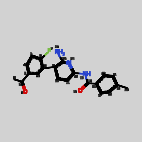 CC(=O)c1ccc(F)c(-c2ccc(NC(=O)c3ccc(C)cc3)nc2N)c1